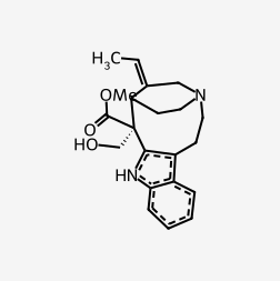 C/C=C1/CN2CCc3c([nH]c4ccccc34)[C@@](CO)(C(=O)OC)C1CC2